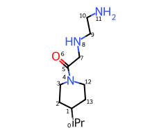 CC(C)C1CCN(C(=O)CNCCN)CC1